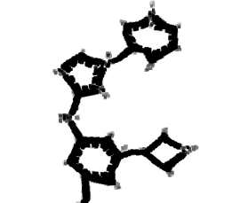 Cc1cc(Nc2ncn(-c3cccnc3)n2)cc(C2COC2)c1